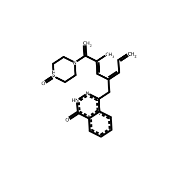 C=C/C=C(\C=C(/C)C(=C)N1CC[PH](=O)CC1)Cc1n[nH]c(=O)c2ccccc12